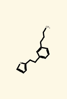 CCCCc1cccc(CCc2cccs2)c1